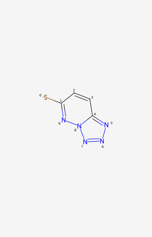 [S]c1ccc2nnnn2n1